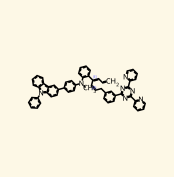 C=C/C=C(\C=C/Cc1cccc(-c2nc(-c3ccccn3)nc(-c3ccccn3)n2)c1)c1ccccc1N(C)c1ccc(-c2ccc3c(c2)c2ccccc2n3-c2ccccc2)cc1